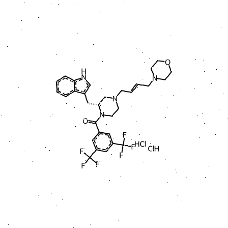 Cl.Cl.O=C(c1cc(C(F)(F)F)cc(C(F)(F)F)c1)N1CCN(CC=CCN2CCOCC2)C[C@H]1Cc1c[nH]c2ccccc12